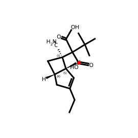 CCC1=C[C@@H]2[C@H](C1)C[C@@]2(CN)C(C(=O)O)(C(=O)O)C(C)(C)C